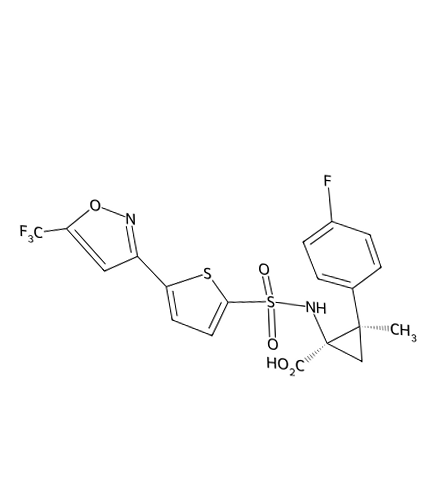 C[C@]1(c2ccc(F)cc2)C[C@]1(NS(=O)(=O)c1ccc(-c2cc(C(F)(F)F)on2)s1)C(=O)O